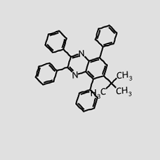 CC(C)(C)c1cc(-c2ccccc2)c2nc(-c3ccccc3)c(-c3ccccc3)nc2c1-c1ccccc1